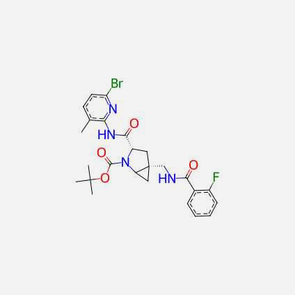 Cc1ccc(Br)nc1NC(=O)[C@@H]1C[C@@]2(CNC(=O)c3ccccc3F)CC2N1C(=O)OC(C)(C)C